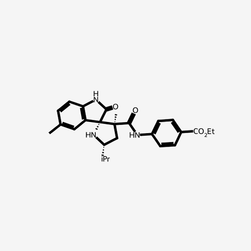 CCOC(=O)c1ccc(NC(=O)[C@@]2(C)C[C@H](C(C)C)N[C@]23C(=O)Nc2ccc(C)cc23)cc1